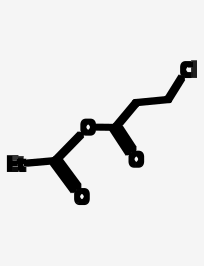 CCC(=O)OC(=O)CCCl